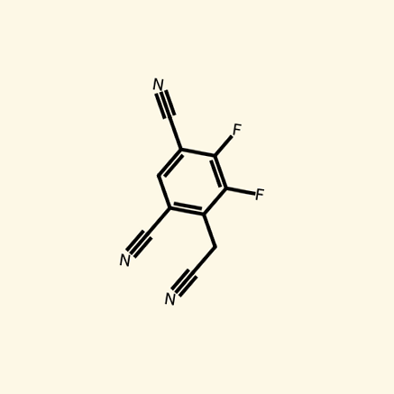 N#CCc1c(C#N)cc(C#N)c(F)c1F